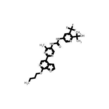 CCCCOc1ncc(-c2ncc(NC(=O)Nc3cnc(C(C)(C)O)c(C(F)(F)F)c3)c(C)n2)c2ccoc12